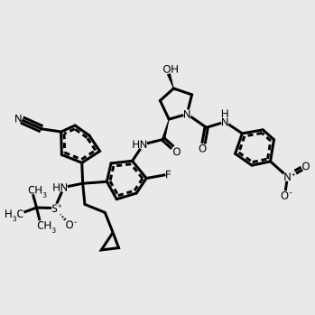 CC(C)(C)[S@@+]([O-])NC(CCC1CC1)(c1cccc(C#N)c1)c1ccc(F)c(NC(=O)[C@H]2C[C@@H](O)CN2C(=O)Nc2ccc([N+](=O)[O-])cc2)c1